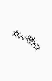 CC1(C)CN(c2cncnc2)CCN1C(=O)NCCCCc1ccccc1